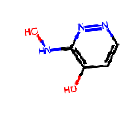 ONc1nnccc1O